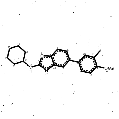 COc1ccc(-c2ccc3oc(NC4CCCCC4)nc3c2)cc1C